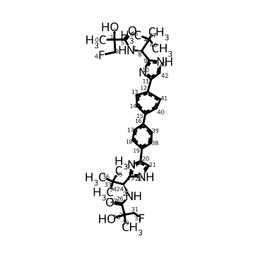 CC(O)(CF)C(=O)N[C@H](c1nc(-c2ccc(-c3ccc(-c4c[nH]c([C@@H](NC(=O)C(C)(O)CF)C(C)(C)C)n4)cc3)cc2)c[nH]1)C(C)(C)C